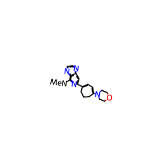 CNc1nc(C2=CC=C(N3CCOCC3)CCC2)cc2nccnc12